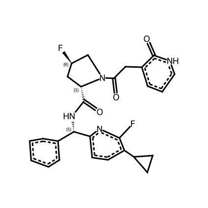 O=C(N[C@@H](c1ccccc1)c1ccc(C2CC2)c(F)n1)[C@@H]1C[C@@H](F)CN1C(=O)Cc1ccc[nH]c1=O